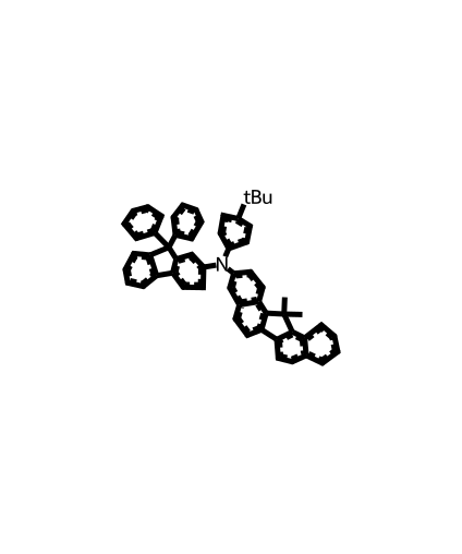 CC(C)(C)c1ccc(N(c2ccc3c(c2)C(c2ccccc2)(c2ccccc2)c2ccccc2-3)c2ccc3c4c(ccc3c2)-c2ccc3ccccc3c2C4(C)C)cc1